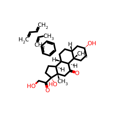 C=CC.C=CC=C.C[C@]12CC[C@@H](O)C[C@H]1CC[C@@H]1[C@@H]2C(=O)C[C@@]2(C)[C@H]1CC[C@]2(O)C(=O)CO.c1ccccc1